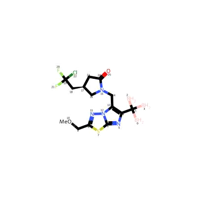 BC(B)(B)c1nc2sc(COC)nn2c1CN1C[C@@H](CC(F)(F)Cl)CC1=O